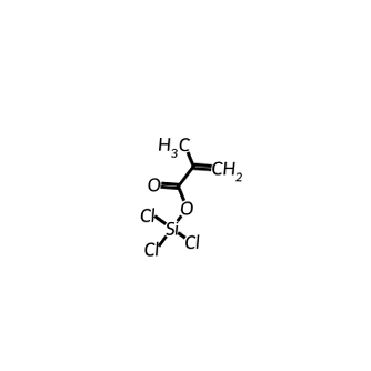 C=C(C)C(=O)O[Si](Cl)(Cl)Cl